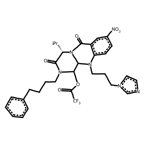 CC(C)[C@H]1C(=O)N(CCCCc2ccccc2)C(OC(=O)C(F)(F)F)C2N(CCCn3ccnc3)c3ccc([N+](=O)[O-])cc3C(=O)N21